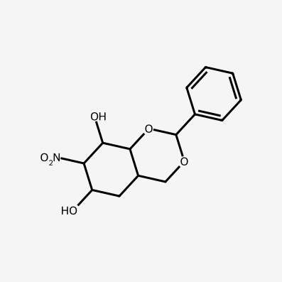 O=[N+]([O-])C1C(O)CC2COC(c3ccccc3)OC2C1O